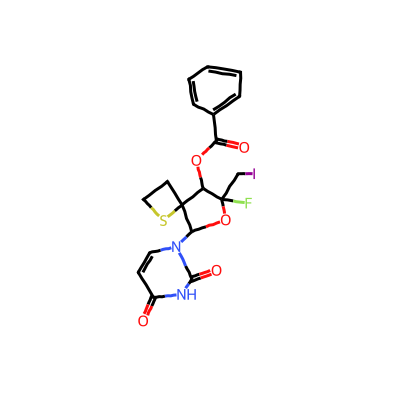 O=C(OC1C(F)(CI)OC(n2ccc(=O)[nH]c2=O)C12CCS2)c1ccccc1